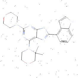 CC1(C)COCCN1c1nc(N2CCOCC2)nc2[nH]c(-c3cccc4[nH]ccc34)nc12